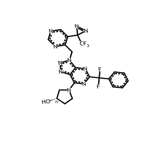 O[C@H]1CCN(c2nc(C(F)(F)c3ccccc3)nc3c2nnn3Cc2ncncc2C2(C(F)(F)F)N=N2)C1